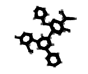 Cc1ccc(-c2nc(-c3ccccc3)nc(-c3cc(C)c(C(N)=O)cc3Oc3ccccc3)n2)c(O)c1